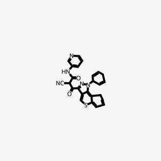 N#CC(C(=O)Nc1cccnc1)C(=O)c1nn(C2C=CCC=C2)c2c1=CSC1=CC=CCC=21